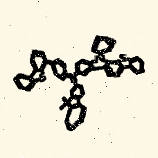 CC1(C)C2=C(C=CCC2)c2ccc(N(c3ccc(-c4cccc5c4sc4ccccc45)cc3)c3ccc4c(c3)c3ccc5c6ccccc6sc5c3n4-c3ccccc3)cc21